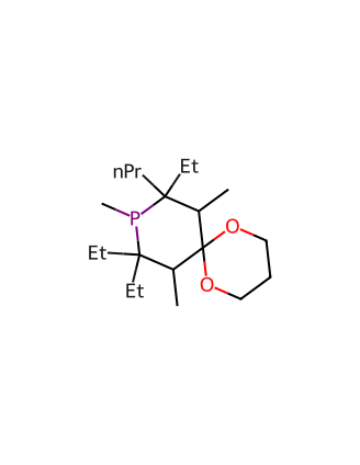 CCCC1(CC)C(C)C2(OCCCO2)C(C)C(CC)(CC)P1C